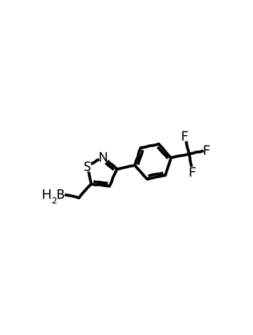 BCc1cc(-c2ccc(C(F)(F)F)cc2)ns1